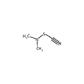 CN(C)SC#N